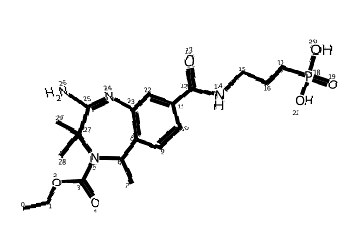 CCOC(=O)N1C(C)c2ccc(C(=O)NCCCP(=O)(O)O)cc2N=C(N)C1(C)C